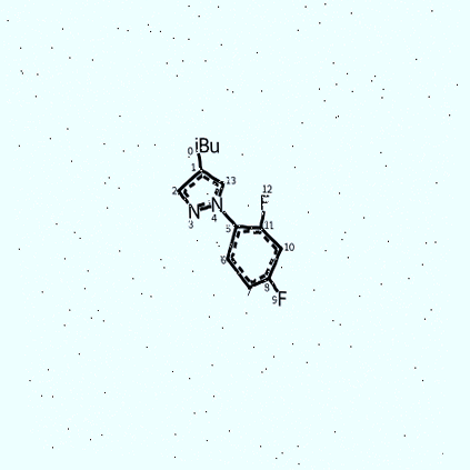 CCC(C)c1cnn(-c2ccc(F)cc2F)c1